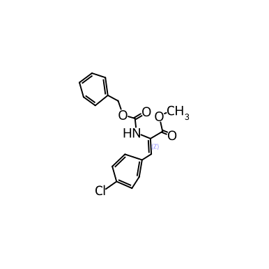 COC(=O)/C(=C/c1ccc(Cl)cc1)NC(=O)OCc1ccccc1